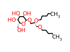 CCCCCOC[C@H](CO[C@H]1O[C@H](CO)[C@H](O)[C@H](O)[C@H]1O)OCCCCC